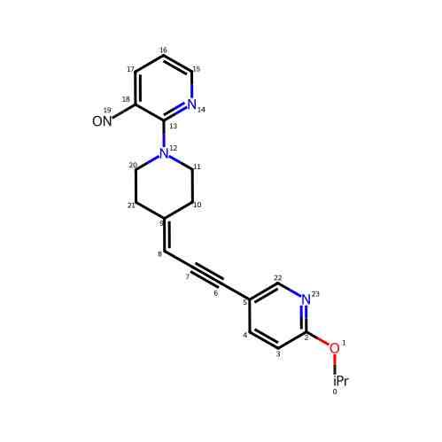 CC(C)Oc1ccc(C#CC=C2CCN(c3ncccc3N=O)CC2)cn1